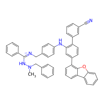 CN(Cc1ccccc1)N/C(=N\Cc1ccc(Nc2cc(-c3cccc4c3oc3ccccc34)ccc2-c2cccc(C#N)c2)cc1)c1ccccc1